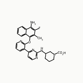 Cc1c(F)c(N)c2ccccc2c1Oc1ncccc1-c1ccnc(NC2CCCN(C(=O)O)C2)n1